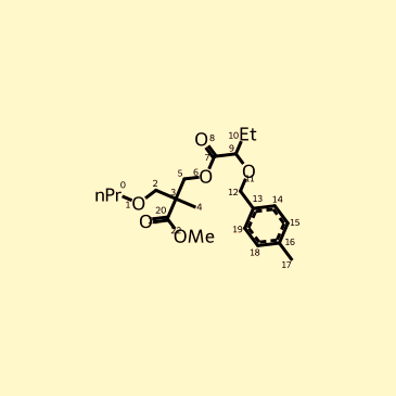 CCCOCC(C)(COC(=O)C(CC)OCc1ccc(C)cc1)C(=O)OC